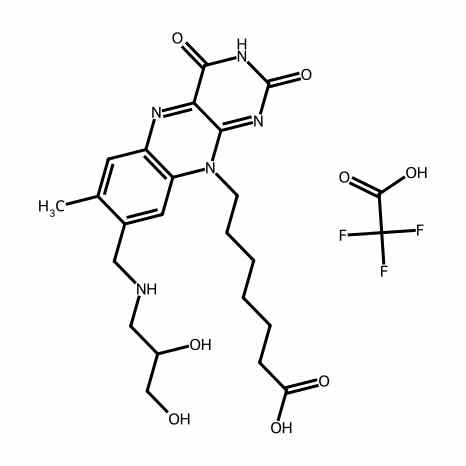 Cc1cc2nc3c(=O)[nH]c(=O)nc-3n(CCCCCCC(=O)O)c2cc1CNCC(O)CO.O=C(O)C(F)(F)F